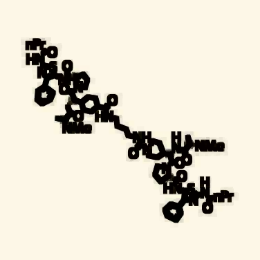 CCCC(=O)Nc1nc(-c2ccccc2)c(NC(=O)[C@@H]2CCCN2C(=O)[C@@H](CC(=O)[C@H](C)NC)C2CCC(C(=O)NCCCCNC(=O)N3CCC([C@H](NC(=O)[C@H](C)NC)C(=O)N4CCC[C@H]4C(=O)Nc4sc(NC(=O)CCC)nc4-c4ccccc4)CC3)CC2)s1